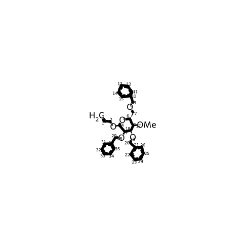 C=CCO[C@H]1O[C@H](COCc2ccccc2)[C@@H](OC)[C@H](OCc2ccccc2)[C@H]1OCc1ccccc1